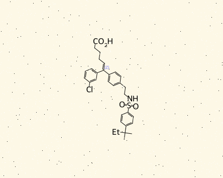 CCC(C)(C)c1ccc(S(=O)(=O)NCCc2ccc(/C(=C/CCCC(=O)O)c3cccc(Cl)c3)cc2)cc1